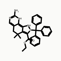 CCOC(=O)C1=C2C(=C3NC(N)=NC=C3CC2(C)C)NN1C(c1ccccc1)(c1ccccc1)c1ccccc1